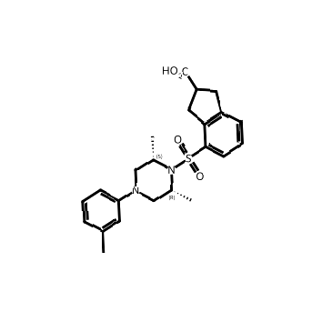 Cc1cccc(N2C[C@@H](C)N(S(=O)(=O)c3cccc4c3CC(C(=O)O)C4)[C@@H](C)C2)c1